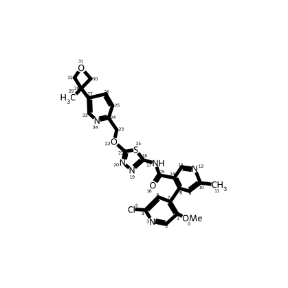 COc1cnc(Cl)cc1-c1cc(C)ncc1C(=O)Nc1nnc(OCc2ccc(C3(C)COC3)cn2)s1